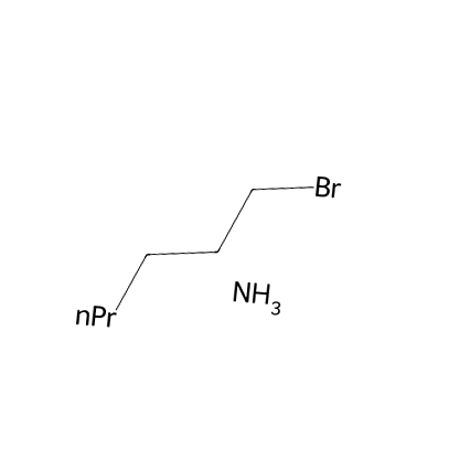 CCCCCCBr.N